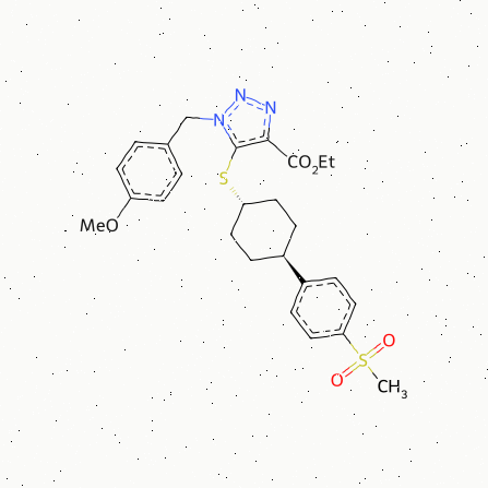 CCOC(=O)c1nnn(Cc2ccc(OC)cc2)c1S[C@H]1CC[C@H](c2ccc(S(C)(=O)=O)cc2)CC1